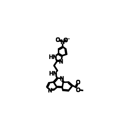 COC(=O)c1ccc2c(c1)nc(NCCc1nc3ccc([N+](=O)[O-])cc3[nH]1)c1ccncc12